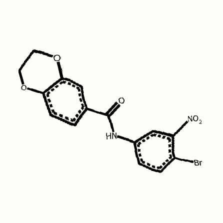 O=C(Nc1ccc(Br)c([N+](=O)[O-])c1)c1ccc2c(c1)OCCO2